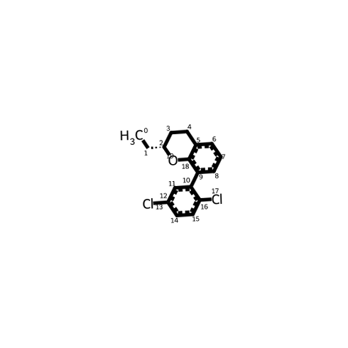 CC[C@@H]1CCc2cccc(-c3cc(Cl)ccc3Cl)c2O1